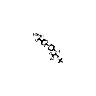 COC(=O)[C@H](COC(C)(C)C)NC1CCN(c2ncc(C(=O)NO)cn2)CC1